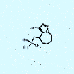 CC(C)(C)[Si](C)(C)OC1CCCCn2ncc(Br)c21